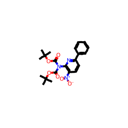 CC(C)(C)OC(=O)N(C(=O)OC(C)(C)C)c1nc(-c2ccccc2)ccc1[N+](=O)[O-]